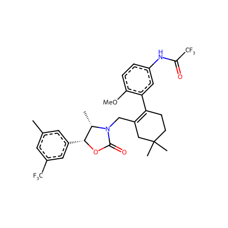 COc1ccc(NC(=O)C(F)(F)F)cc1C1=C(CN2C(=O)O[C@H](c3cc(C)cc(C(F)(F)F)c3)[C@@H]2C)CC(C)(C)CC1